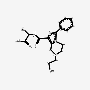 CNC(=O)C(NC(=O)c1nc(-c2ccccc2)n2c1CN(CCC(C)(C)C)CC2)C(C)(C)C